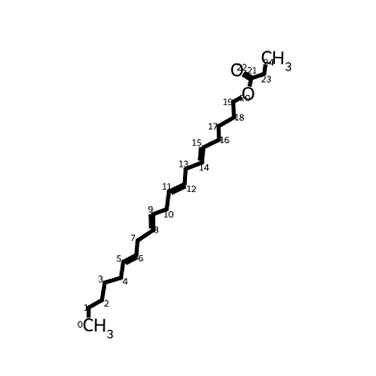 CCCCCC=CCC=CCC=CCC=CCCCCOC(=O)CC